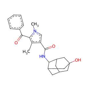 Cc1c(C(=O)NC2C3CC4CC2CC(O)(C4)C3)cn(C)c1C(=O)c1ccccc1